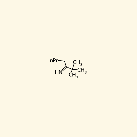 CCCCC(=N)C(C)(C)C